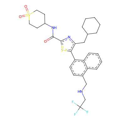 O=C(NC1CCS(=O)(=O)CC1)c1nc(CC2CCCCC2)c(-c2ccc(CNCC(F)(F)F)c3ccccc23)s1